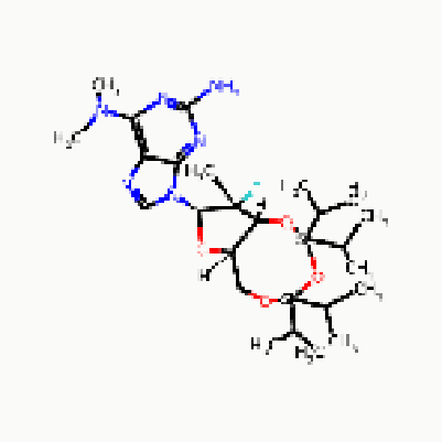 CC(C)[Si]1(C(C)C)OC[C@H]2O[C@@H](n3cnc4c(N(C)C)nc(N)nc43)[C@](C)(F)[C@@H]2O[Si](C(C)C)(C(C)C)O1